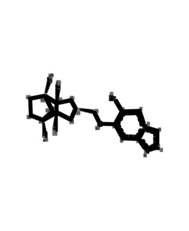 Brc1cn2cnnc2cc1OC[C@@H]1C[C@@H]2[C@H]3CC[C@H](C3)[C@@H]2C1